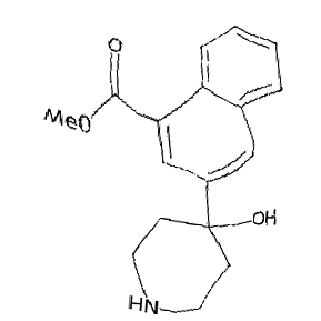 COC(=O)c1cc(C2(O)CCNCC2)cc2ccccc12